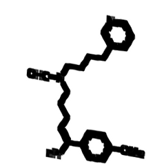 CCCC(=CCCCN(C=O)CCCCc1cccnc1)c1ccc(OC)cc1